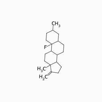 C=C1CCC2C3CCC4CC(C)CCC4(F)C3CCC12C